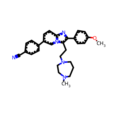 COc1ccc(-c2nc3ccc(-c4ccc(C#N)cc4)cn3c2CCN2CCCN(C)CC2)cc1